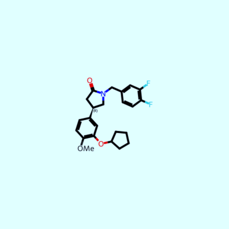 COc1ccc([C@H]2CC(=O)N(Cc3ccc(F)c(F)c3)C2)cc1OC1CCCC1